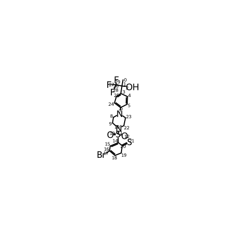 CC(O)(c1ccc(N2CCN(S(=O)(=O)C3=CC(Br)=CCC3=S)CC2)cc1)C(F)(F)F